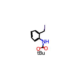 CC(C)(C)OC(=O)Nc1ccccc1CI